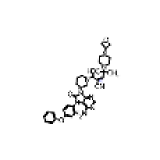 CC(C)(/C=C(/C#N)C(=O)N1CCC[C@@H](n2c(=O)n(-c3ccc(Oc4ccccc4)cc3)c3c(N)ncnc32)C1)N1CCN(C2COC2)CC1